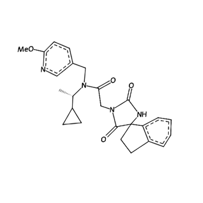 COc1ccc(CN(C(=O)CN2C(=O)NC3(CCc4ccccc43)C2=O)[C@@H](C)C2CC2)cn1